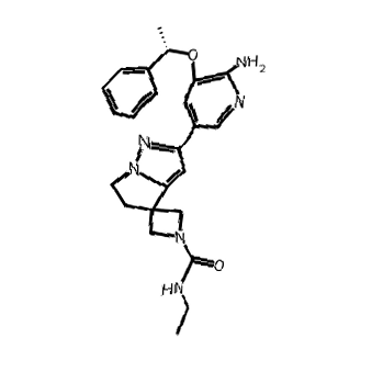 CCNC(=O)N1CC2(CCn3nc(-c4cnc(N)c(O[C@@H](C)c5ccccc5)c4)cc32)C1